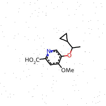 COc1cc(C(=O)O)ncc1OC(C)C1CC1